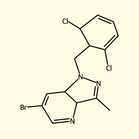 CC1=NN(CC2C(Cl)=CC=CC2Cl)C2C=C(Br)C=NC12